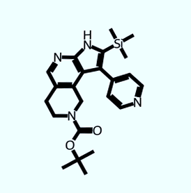 CC(C)(C)OC(=O)N1CCc2cnc3[nH]c([Si](C)(C)C)c(-c4ccncc4)c3c2C1